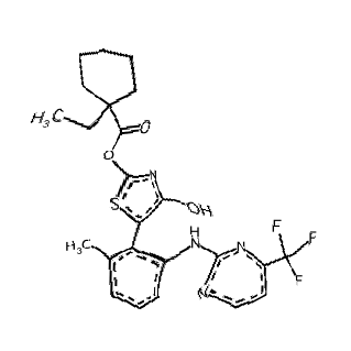 CCC1(C(=O)Oc2nc(O)c(-c3c(C)cccc3Nc3nccc(C(F)(F)F)n3)s2)CCCCC1